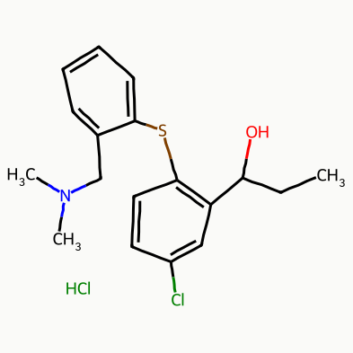 CCC(O)c1cc(Cl)ccc1Sc1ccccc1CN(C)C.Cl